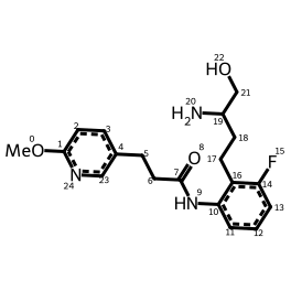 COc1ccc(CCC(=O)Nc2cccc(F)c2CCC(N)CO)cn1